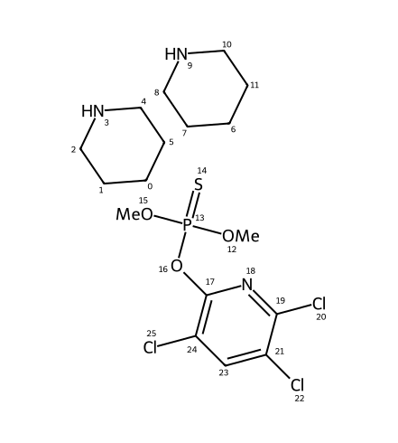 C1CCNCC1.C1CCNCC1.COP(=S)(OC)Oc1nc(Cl)c(Cl)cc1Cl